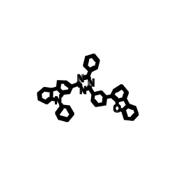 C1=CC(c2nc(-c3ccccc3)nc(-c3ccc4c5ccccc5n(-c5ccccc5)c4c3)n2)CC(c2cccc3c2oc2ccccc23)=C1